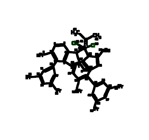 CCCCC1=Cc2c(ccc(CCC)c2-c2cc(C(C)C)cc(C(C)C)c2)[CH]1[Zr]([Cl])([Cl])([CH]1C(CCCC)=Cc2c1ccc(CCC)c2-c1cc(C(C)C)cc(C(C)C)c1)[SiH](C)C